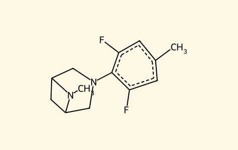 Cc1cc(F)c(N2CC3CC(C2)N3C)c(F)c1